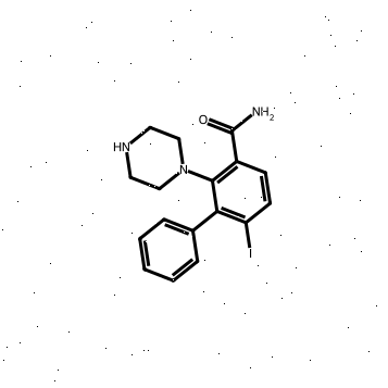 NC(=O)c1ccc(I)c(-c2ccccc2)c1N1CCNCC1